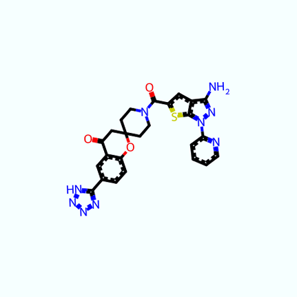 Nc1nn(-c2ccccn2)c2sc(C(=O)N3CCC4(CC3)CC(=O)c3cc(-c5nnn[nH]5)ccc3O4)cc12